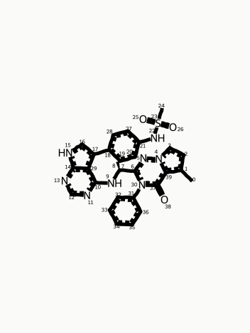 Cc1ccn2nc([C@H](C)Nc3ncnc4[nH]cc(-c5ccc(NS(C)(=O)=O)cc5)c34)n(-c3ccccc3)c(=O)c12